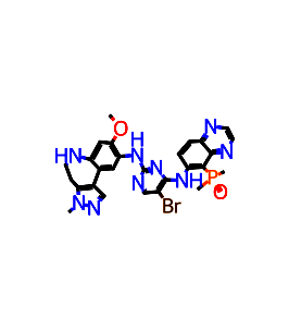 COc1cc2c(cc1Nc1ncc(Br)c(Nc3ccc4nccnc4c3P(C)(C)=O)n1)-c1cnn(C)c1CCN2